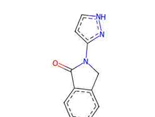 O=C1c2ccccc2CN1c1cc[nH]n1